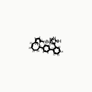 CCCCc1ccc2n1C(c1ccc(-c3ccccc3-c3nnn[nH]3)cc1)CCC=C2